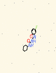 O=C(Nc1nc2cc(F)ccc2o1)NC1CCCCC1